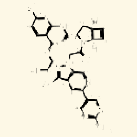 CC(=O)c1nn(CC(=O)N2[C@H](C(=O)Nc3nc(Br)ccc3COCCF)C[C@@]3(C)C=C[C@@H]23)c2cnc(-c3cnc(C)nc3)cc12